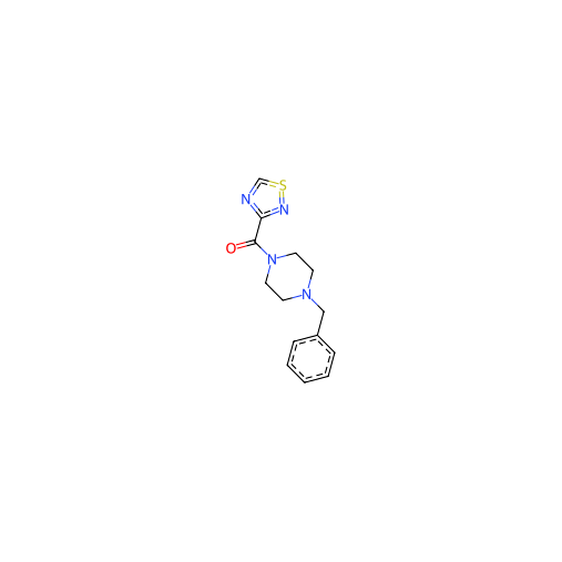 O=C(c1ncsn1)N1CCN(Cc2ccccc2)CC1